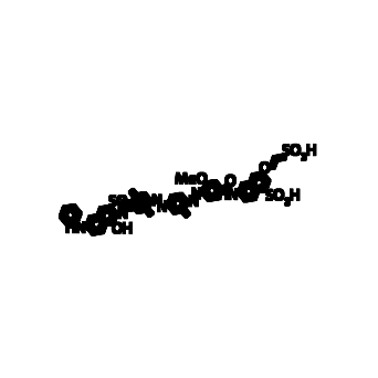 COc1cc(C(=O)Nc2ccc3c(S(=O)(=O)O)cc(OCCCS(=O)(=O)O)cc3c2)ccc1N=Nc1ccc(N=Nc2cc(C)c(N=Nc3c(S(=O)(=O)O)cc4cc(Nc5ccccc5)ccc4c3O)cc2C)cc1C